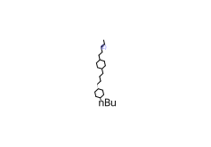 C/C=C/CCC1CCC(CCCC[C@H]2CC[C@H](CCCC)CC2)CC1